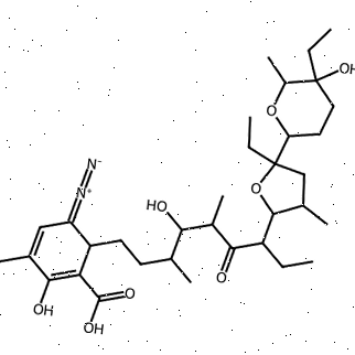 CCC(C(=O)C(C)C(O)C(C)CCC1C(=[N+]=[N-])C=C(C)C(O)=C1C(=O)O)C1OC(CC)(C2CCC(O)(CC)C(C)O2)CC1C